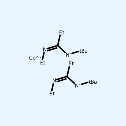 CCN=C(CC)[N-]C(C)(C)C.CCN=C(CC)[N-]C(C)(C)C.[Co+2]